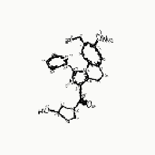 COc1cc2c(cc1CC(C)C)-n1c(-c3cccs3)nc(C(=O)N3CCC(O)C3)c1CC2